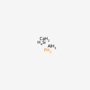 P.[AlH3].[CaH2].[SiH4]